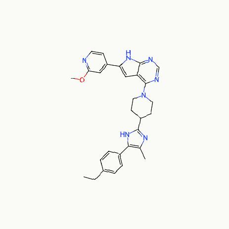 CCc1ccc(-c2[nH]c(C3CCN(c4ncnc5[nH]c(-c6ccnc(OC)c6)cc45)CC3)nc2C)cc1